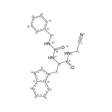 N#CCNC(=O)C(Cc1csc2ccccc12)NC(=O)NCc1ccccc1